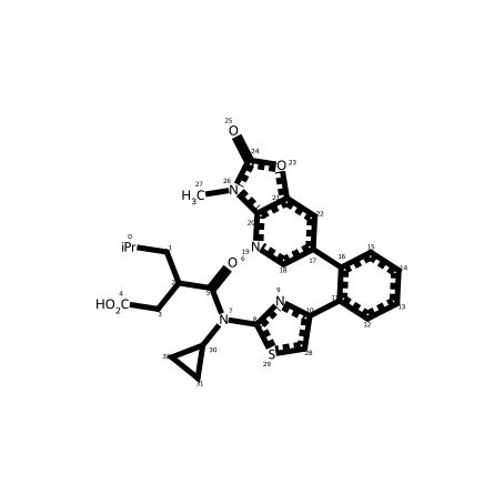 CC(C)CC(CC(=O)O)C(=O)N(c1nc(-c2ccccc2-c2cnc3c(c2)oc(=O)n3C)cs1)C1CC1